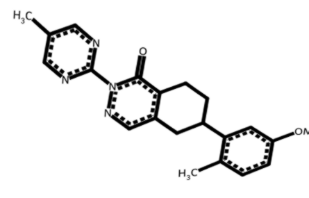 COc1ccc(C)c(C2CCc3c(cnn(-c4ncc(C)cn4)c3=O)C2)c1